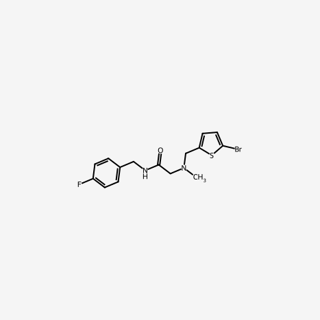 CN(CC(=O)NCc1ccc(F)cc1)Cc1ccc(Br)s1